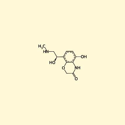 CNC[C@H](O)c1ccc(O)c2c1OCC(=O)N2